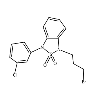 O=S1(=O)N(CCCBr)c2ccccc2N1c1cccc(Cl)c1